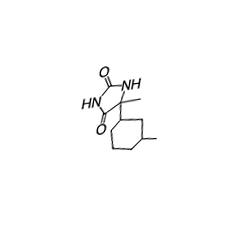 CC1CCCC(C2(C)NC(=O)NC2=O)C1